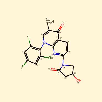 O=C(O)c1cn(-c2c(F)cc(F)cc2Cl)c2nc(N3CC(O)CC3=O)ccc2c1=O